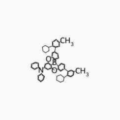 Cc1ccc(C2CCCCC2)c(-c2ccc3c(c2)Oc2cc(N(c4ccccc4)c4ccccc4)cc4c2B3c2ccc(-c3cc(C)ccc3C3CCCCC3)cc2O4)c1